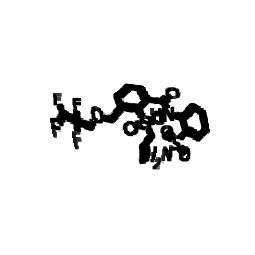 C=CCS(=O)(=O)c1c(COCC(F)(F)C(F)F)cccc1C(=O)Nc1ccccc1S(N)(=O)=O